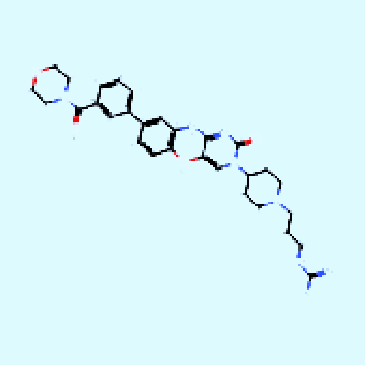 N=C(N)NCCCN1CCC(n2cc3c(nc2=O)Nc2cc(-c4cccc(C(=O)N5CCOCC5)c4)ccc2O3)CC1